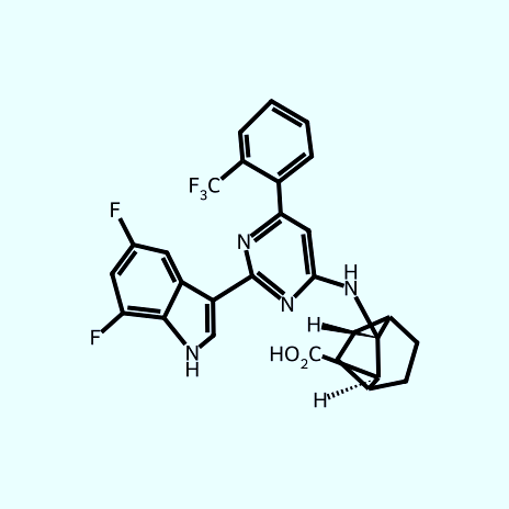 O=C(O)[C@@H]1C2CCC(CC2)[C@H]1Nc1cc(-c2ccccc2C(F)(F)F)nc(-c2c[nH]c3c(F)cc(F)cc23)n1